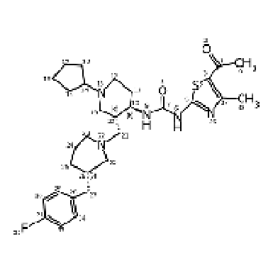 CC(=O)c1sc(NC(=O)N[C@@H]2CCN(C3CCCC3)C[C@H]2CN2CCC[C@@H](Cc3ccc(F)cc3)C2)nc1C